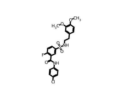 COc1ccc(CCNS(=O)(=O)c2ccc(F)c(C(=O)Nc3ccc(Cl)cc3)c2)cc1OC